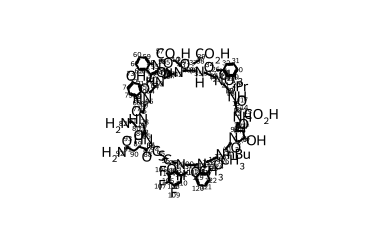 CCCC[C@H]1C(=O)N2C[C@@H](O)C[C@@H]2C(=O)N[C@@H](CC(=O)O)C(=O)N[C@@H](C(C)C)C(=O)N(C)[C@@H](Cc2ccccc2)C(=O)N[C@@H](CCC(=O)O)C(=O)N2CCOC[C@@H]2C(=O)N[C@@H](Cc2cn(CC(=O)O)c3ccccc23)C(=O)N[C@@H](Cc2ccc(O)cc2)C(=O)N[C@@H](CCN)C(=O)N[C@H](C(=O)CCC(N)=O)CSCC(=O)N[C@@H](Cc2cc(F)c(F)c(F)c2)C(=O)N(C)[C@@H](Cc2ccccc2)C(=O)N1C